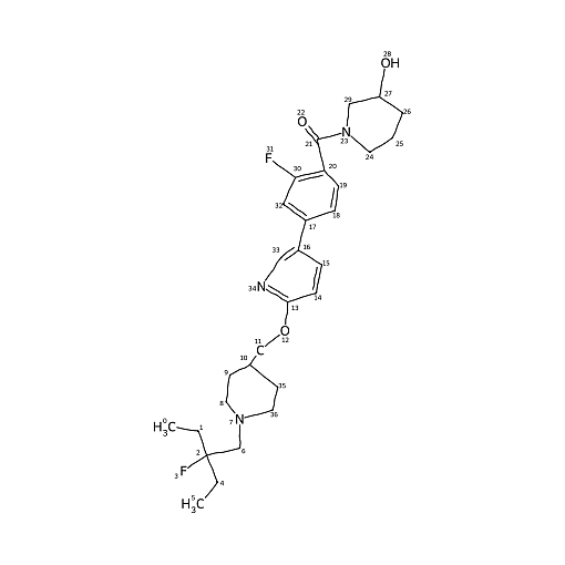 CCC(F)(CC)CN1CCC(COc2ccc(-c3ccc(C(=O)N4CCCC(O)C4)c(F)c3)cn2)CC1